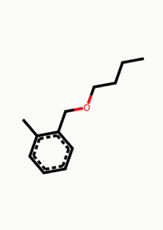 CCCCOCc1ccccc1C